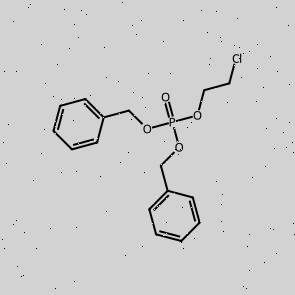 O=P(OCCCl)(OCc1ccccc1)OCc1ccccc1